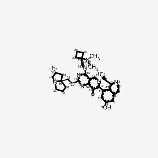 C#Cc1nccc2cc(O)cc(-c3ncc4c(NCC5(N(C)C)CCC5)nc(OC[C@@]56CCCN5C[C@H](F)C6)nc4c3F)c12